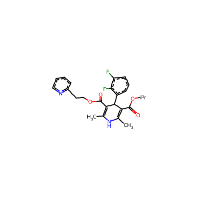 CC1=C(C(=O)OCCc2ccccn2)C(c2cccc(F)c2F)C(C(=O)OC(C)C)=C(C)N1